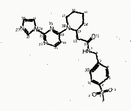 CS(=O)(=O)c1ccc(CNC(=O)CC2CCCCN2c2ccnc(-n3ccnc3)n2)cc1